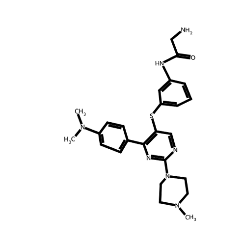 CN1CCN(c2ncc(Sc3cccc(NC(=O)CN)c3)c(-c3ccc(N(C)C)cc3)n2)CC1